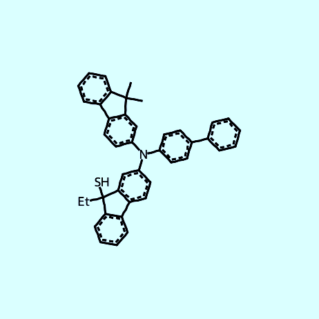 CCC1(S)c2ccccc2-c2ccc(N(c3ccc(-c4ccccc4)cc3)c3ccc4c(c3)C(C)(C)c3ccccc3-4)cc21